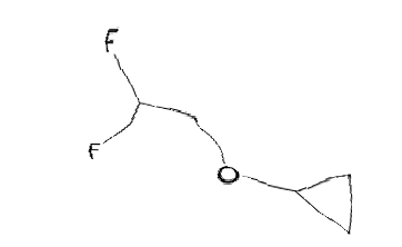 FC(F)COC1CC1